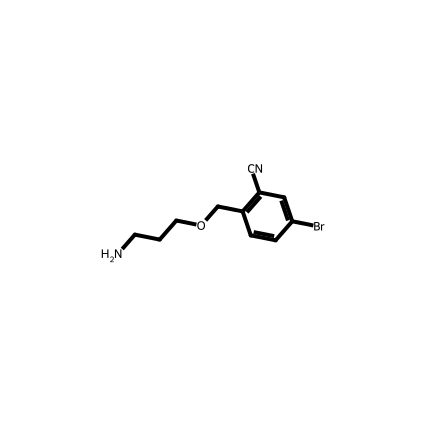 N#Cc1cc(Br)ccc1COCCCN